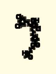 CC(=O)NCCCOC(=O)c1ccc(CCC[C@@H]2[C@@H](CCc3cc(Cl)cc(Cl)c3)[C@H](O)C[C@H]2Cl)s1